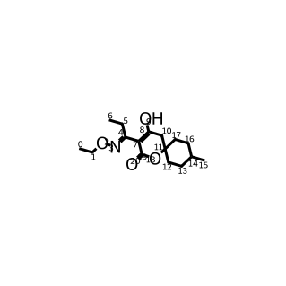 CCON=C(CC)C1=C(O)CC2(CCC(C)CC2)OC1=O